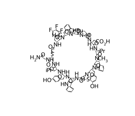 CCCC[C@H]1C(=O)N2CCC[C@@H]2C(=O)N[C@@H](CC(=O)O)C(=O)N[C@@H](C(C)C)C(=O)N(C)C(Cc2ccccc2)C(=O)N[C@@H](Cc2ccc(O)cc2)C(=O)N2CSC[C@@H]2C(=O)N[C@@H](Cc2c[nH]c3ccccc23)C(=O)N[C@@H](Cc2ccc(O)cc2)C(=O)N[C@@H](CC(C)C)C(=O)N[C@H](C(=O)NCC(N)=O)CSCC(=O)N[C@@H](Cc2cc(F)c(F)c(F)c2)C(=O)N(C)[C@@H](Cc2ccccc2)C(=O)N1C